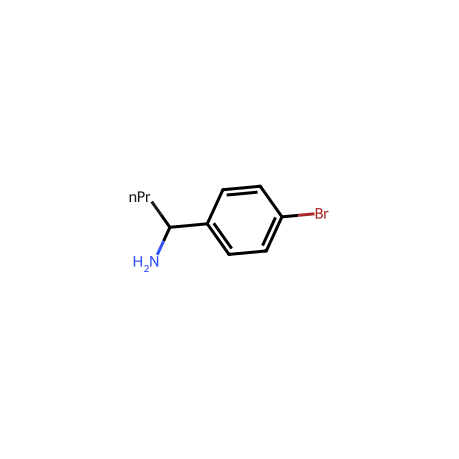 CCCC(N)c1ccc(Br)cc1